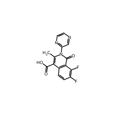 Cc1c(C(=O)O)c2ccc(F)c(F)c2c(=O)n1-c1cnccn1